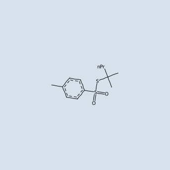 CCCC(C)(C)SS(=O)(=O)c1ccc(C)cc1